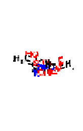 CC(=O)OCC1=C(C(=O)O)N2C(=O)C(NC(=O)C(NC(=O)c3c(-c4ccc(C)cc4)ccnc3O)c3ccc(O)cc3)[C@@H]2SC1